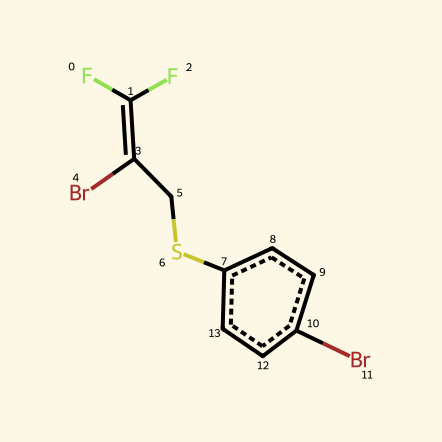 FC(F)=C(Br)CSc1ccc(Br)cc1